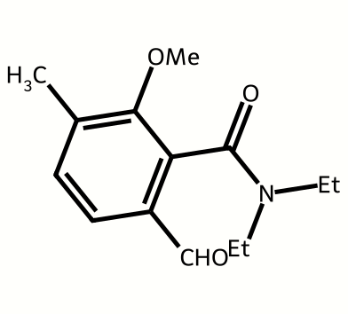 CCN(CC)C(=O)c1c(C=O)ccc(C)c1OC